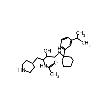 CC(=O)NC(CC1CCNCC1)C(O)CNC1(c2cccc(C(C)C)c2)CCCCC1